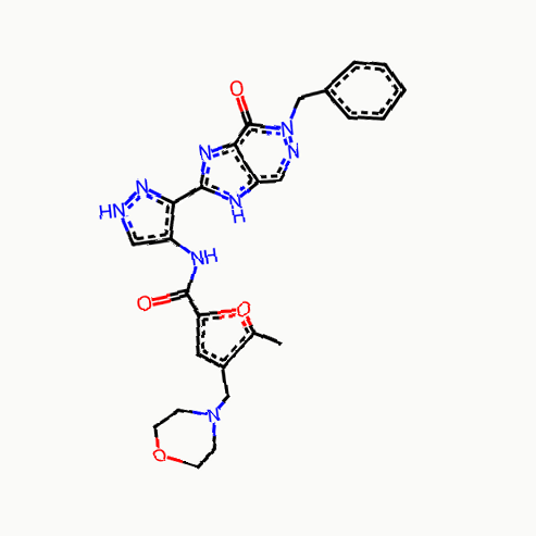 Cc1oc(C(=O)Nc2c[nH]nc2-c2nc3c(=O)n(Cc4ccccc4)ncc3[nH]2)cc1CN1CCOCC1